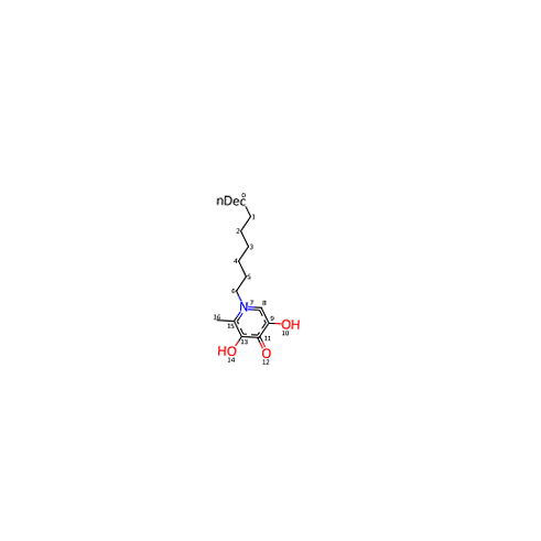 CCCCCCCCCCCCCCCCn1cc(O)c(=O)c(O)c1C